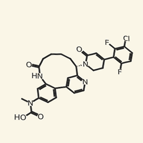 CN(C(=O)O)c1ccc2c(c1)NC(=O)CCCC[C@H](N1CCC(c3c(F)ccc(Cl)c3F)=CC1=O)c1cc-2ccn1